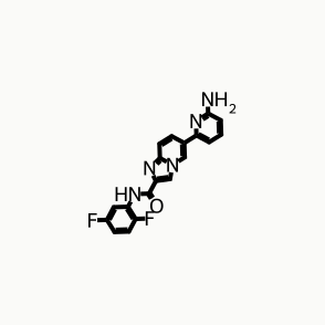 Nc1cccc(-c2ccc3nc(C(=O)Nc4cc(F)ccc4F)cn3c2)n1